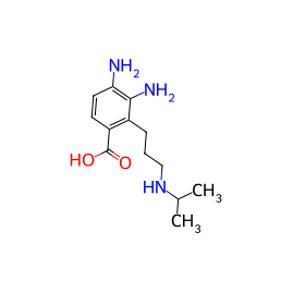 CC(C)NCCCc1c(C(=O)O)ccc(N)c1N